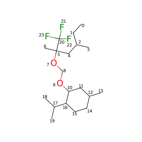 CCC(C)CC(C)(OCOC1CC(C)CCC1C(C)C)C(F)(F)F